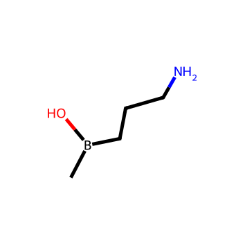 CB(O)CCCN